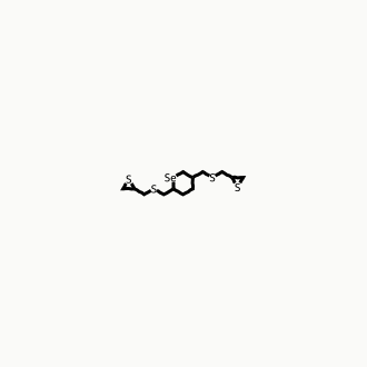 C1CC(CSCC2CS2)[Se]CC1CSCC1CS1